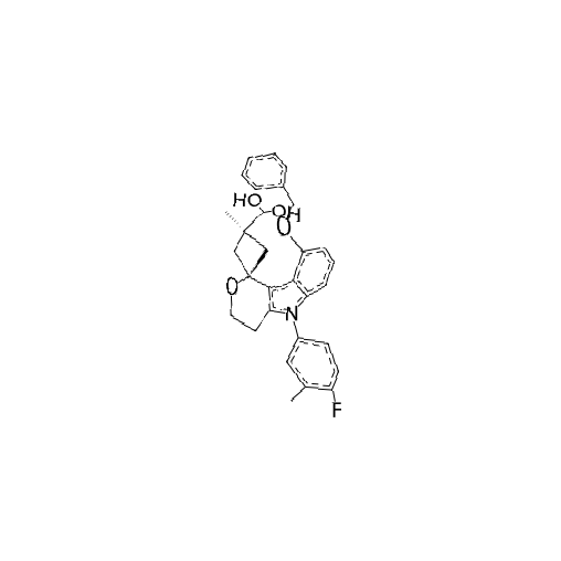 Cc1cc(-n2c3c(c4c(OCc5ccccc5)cccc42)[C@]2(C[C@](C)(C(O)O)C2)OCC3)ccc1F